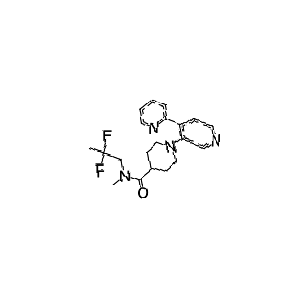 CN(CC(C)(F)F)C(=O)C1CCN(c2cnccc2-c2ccccn2)CC1